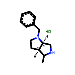 CC1NC[C@H]2[C@@H]1CCN2Cc1ccccc1.Cl